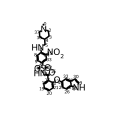 CN1CCC(CNc2ccc(S(=O)(=O)NC(=O)c3ccccc3Oc3ccc4[nH]ccc4c3)cc2[N+](=O)[O-])CC1